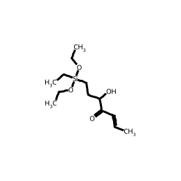 CC=CC(=O)C(O)CC[Si](CC)(OCC)OCC